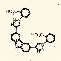 O=C(O)c1ccccc1-n1cc(-c2ccc3[nH]c4ccc(-c5cn(-c6ccccc6C(=O)O)nn5)cc4c3c2)nn1